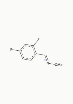 CO/N=C/c1[c]cc(F)cc1F